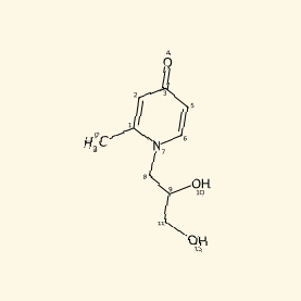 Cc1cc(=O)ccn1CC(O)CO